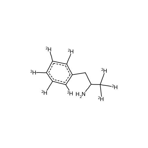 [2H]c1c([2H])c([2H])c(CC(N)C([2H])([2H])[2H])c([2H])c1[2H]